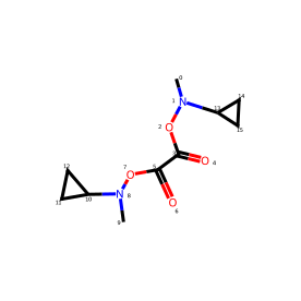 CN(OC(=O)C(=O)ON(C)C1CC1)C1CC1